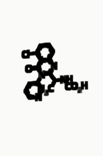 CC(NC(=O)O)c1nc2cccc(Cl)c2c(=O)n1-c1cccnc1